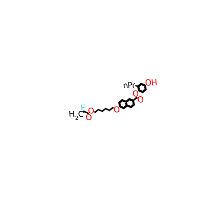 C=C(F)C(=O)OCCCCCCOc1ccc2cc(C(=O)Oc3ccc(O)cc3CCC)ccc2c1